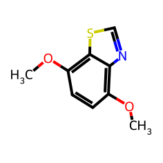 COc1ccc(OC)c2scnc12